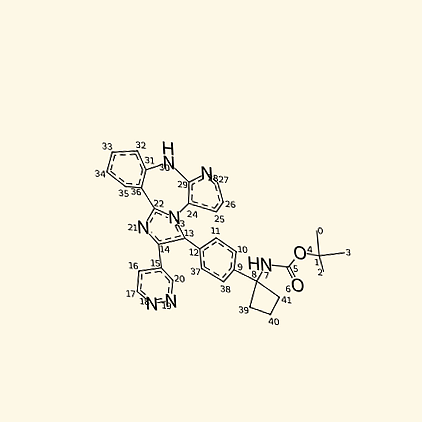 CC(C)(C)OC(=O)NC1(c2ccc(-c3c(-c4ccnnc4)nc4n3-c3cccnc3Nc3ccccc3-4)cc2)CCC1